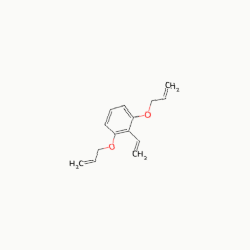 C=CCOc1cccc(OCC=C)c1C=C